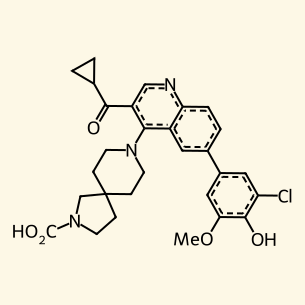 COc1cc(-c2ccc3ncc(C(=O)C4CC4)c(N4CCC5(CCN(C(=O)O)C5)CC4)c3c2)cc(Cl)c1O